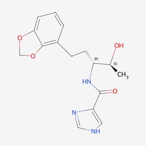 C[C@H](O)[C@@H](CCc1cccc2c1OCO2)NC(=O)c1c[nH]cn1